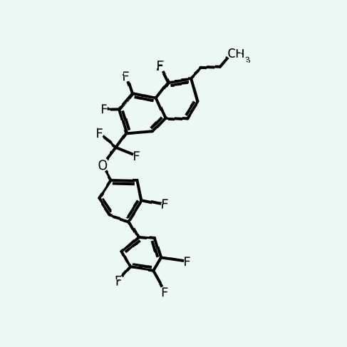 CCCc1ccc2cc(C(F)(F)Oc3ccc(-c4cc(F)c(F)c(F)c4)c(F)c3)c(F)c(F)c2c1F